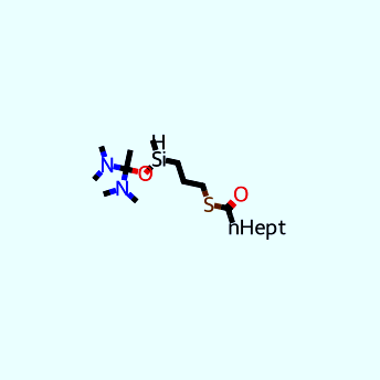 CCCCCCCC(=O)SCCC[SiH](C)OC(C)(N(C)C)N(C)C